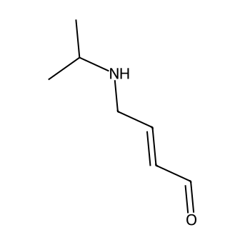 CC(C)NCC=CC=O